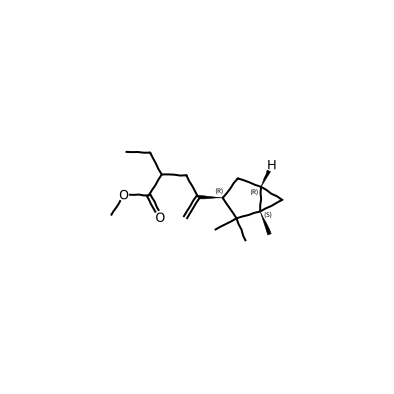 C=C(CC(CC)C(=O)OC)[C@H]1C[C@@H]2C[C@]2(C)C1(C)C